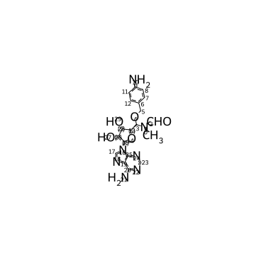 CN(C=O)C(OCc1ccc(N)cc1)[C@H]1O[C@@H](n2cnc3c(N)ncnc32)[C@H](O)[C@@H]1O